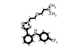 CN(C)CCOCCn1nnc(-c2ccccc2Nc2ccc(C(F)(F)F)cc2)n1